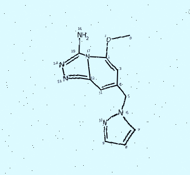 COc1cc(Cn2cccn2)cc2nnc(N)n12